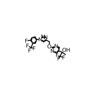 CC(O)(c1cnc(OCc2cn(-c3ccc(F)c(C(F)(F)F)c3)nn2)nc1)C(F)(F)F